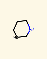 B1CCCNC1